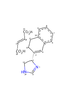 C1=N[C@@H](C2=Cc3ccccc3CC2)CN1.O=C(O)C=CC(=O)O